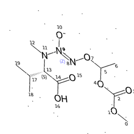 COC(=O)OC(C)O/N=[N+](\[O-])N(C)[C@H](C(=O)O)C(C)C